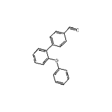 O=Cc1ccc(-c2ccccc2Oc2ccccc2)cc1